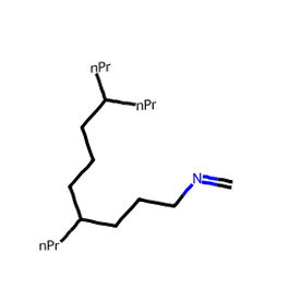 C=NCCCC(CCC)CCCC(CCC)CCC